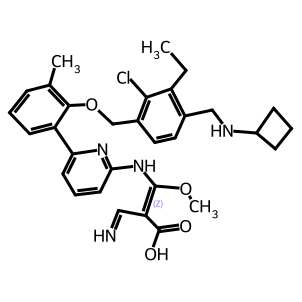 CCc1c(CNC2CCC2)ccc(COc2c(C)cccc2-c2cccc(N/C(OC)=C(\C=N)C(=O)O)n2)c1Cl